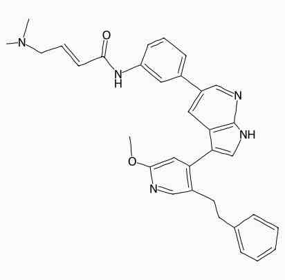 COc1cc(-c2c[nH]c3ncc(-c4cccc(NC(=O)C=CCN(C)C)c4)cc23)c(CCc2ccccc2)cn1